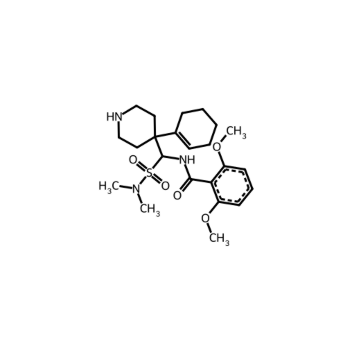 COc1cccc(OC)c1C(=O)NC(C1(C2=CCCCC2)CCNCC1)S(=O)(=O)N(C)C